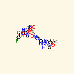 CC(=O)c1c(C)c2cnc(Nc3ccc(N4CCN(C(=O)CCCCC(=O)N(C)C(C)C(=O)N[C@H](C(=O)N5CCCC5c5nc(C(=O)c6ccc(F)cc6)cs5)C5CCCCC5)CC4)cn3)nc2n(C2CCCC2)c1=O